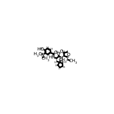 CC[C@@H]1OCC(=O)[C@H]1NC(=O)[C@H](CC1(C)CCCC1)NC(=O)c1ccc(O)c(N(C)C)c1